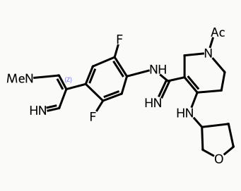 CN/C=C(\C=N)c1cc(F)c(NC(=N)C2=C(NC3CCOC3)CCN(C(C)=O)C2)cc1F